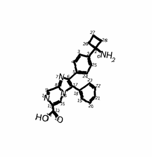 NC1(c2ccc(-c3nc4cnc(C(=O)O)cn4c3-c3ccccc3)cc2)CCC1